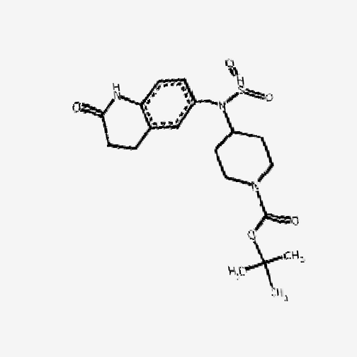 CC(C)(C)OC(=O)N1CCC(N(c2ccc3c(c2)CCC(=O)N3)[SH](=O)=O)CC1